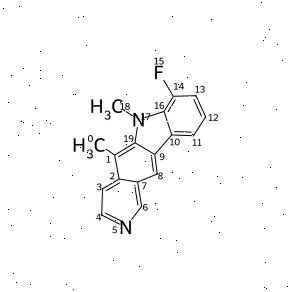 Cc1c2ccncc2cc2c3cccc(F)c3n(C)c12